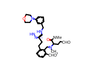 CNC(=O)C(CCC=O)N(C)Cc1c(C=O)cccc1CC/C(=C/NCc1cccc(N2CCOCC2)c1)N=N